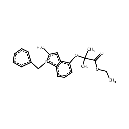 CCOC(=O)C(C)(C)Oc1cccc2c1cc(C)n2Cc1ccccc1